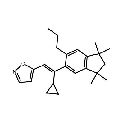 CCCc1cc2c(cc1C(=Cc1ccno1)C1CC1)C(C)(C)CC2(C)C